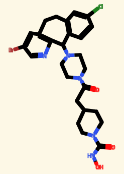 O=C(CC1CCN(C(=O)NO)CC1)N1CCN(C2c3ccc(Cl)cc3CCc3cc(Br)cnc32)CC1